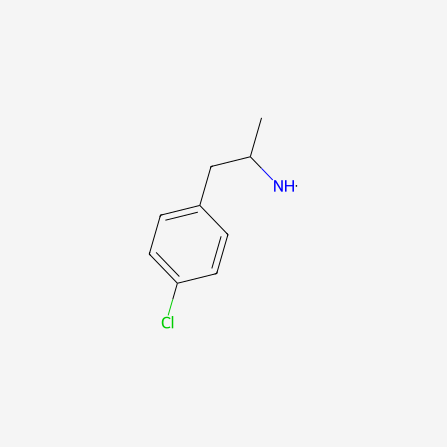 CC([NH])Cc1ccc(Cl)cc1